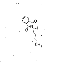 CCCCCC(I)N1C(=O)c2ccccc2C1=O